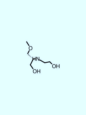 COC[C@@H](CO)NCCO